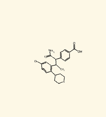 CC(c1cc(Cl)ccc1N1CCSCC1)C(C(N)=O)c1ccc(C(=O)O)cc1